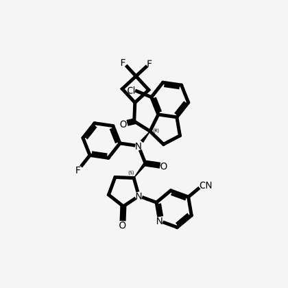 N#Cc1ccnc(N2C(=O)CC[C@H]2C(=O)N(c2cccc(F)c2)[C@]2(C(=O)C3CC(F)(F)C3)CCc3cccc(Cl)c32)c1